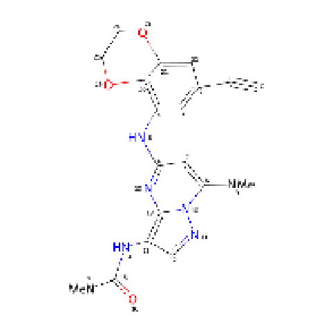 C#Cc1cc(Nc2cc(NC)n3ncc(NC(=O)NC)c3n2)c2c(c1)OCCO2